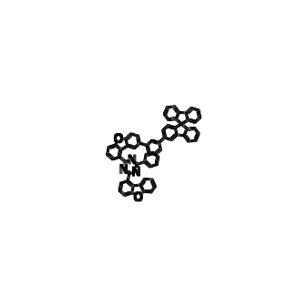 c1ccc(-c2nc(-c3cccc4oc5ccccc5c34)nc(-c3cccc4oc5ccc(-c6cccc(-c7ccc8c(c7)-c7ccccc7C87c8ccccc8-c8ccccc87)c6)cc5c34)n2)cc1